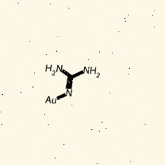 NC(N)=[N][Au]